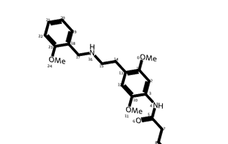 COc1cc(NC(=O)CCC(=O)O)c(OC)cc1CCNCc1ccccc1OC